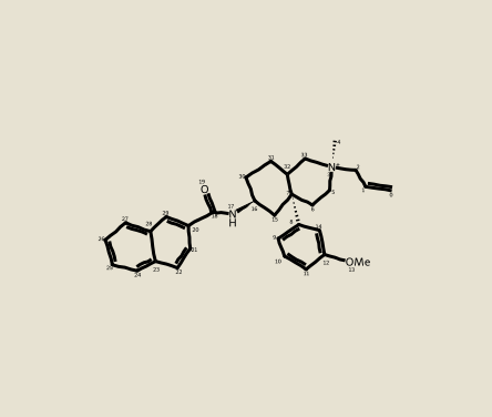 C=CC[N@@+]1(C)CC[C@@]2(c3cccc(OC)c3)C[C@@H](NC(=O)c3ccc4ccccc4c3)CCC2C1